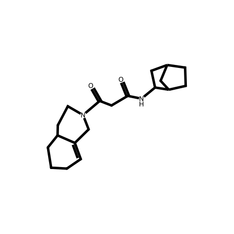 O=C(CC(=O)N1CCC2CCCC=C2C1)NC1CC2CCC1C2